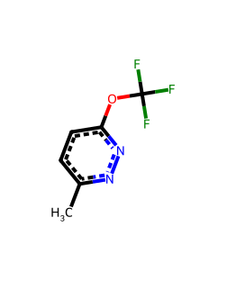 Cc1ccc(OC(F)(F)F)nn1